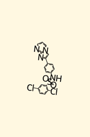 O=S(=O)(Nc1ccc(-c2cn3cccnc3n2)cc1)c1cc(Cl)ccc1Cl